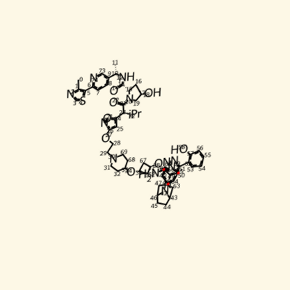 Cc1ncsc1-c1ccc([C@H](C)NC(=O)[C@@H]2C[C@@H](O)CN2C(=O)[C@H](c2cc(OCCN3CCC(O[C@H]4C[C@H](Oc5cc(N6C7CCC6CN(c6cc(-c8ccccc8O)nnc6N)C7)ccn5)C4)CC3)no2)C(C)C)cn1